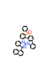 O=P1(c2ccccc2)c2ccccc2-c2c1ccc1c3ccccc3n(-c3nc(-c4cccc5ccccc45)c4ccccc4n3)c21